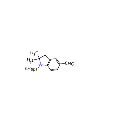 CCCCCCCN1c2ccc(C=O)cc2CC1(C)C